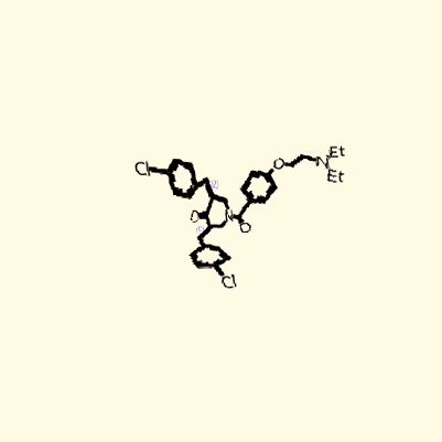 CCN(CC)CCOc1ccc(C(=O)N2C/C(=C/c3ccc(Cl)cc3)C(=O)/C(=C/c3ccc(Cl)cc3)C2)cc1